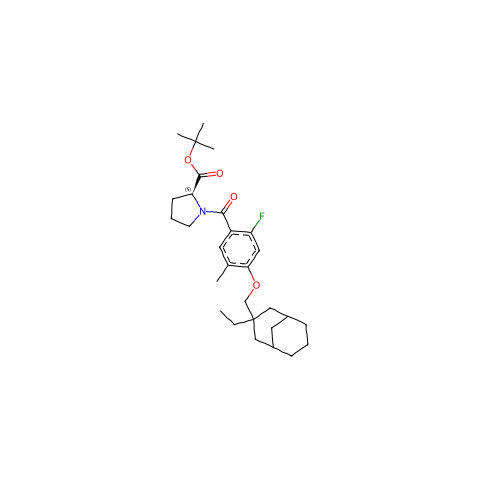 CCC1(COc2cc(F)c(C(=O)N3CCC[C@H]3C(=O)OC(C)(C)C)cc2C)CC2CCCC(C2)C1